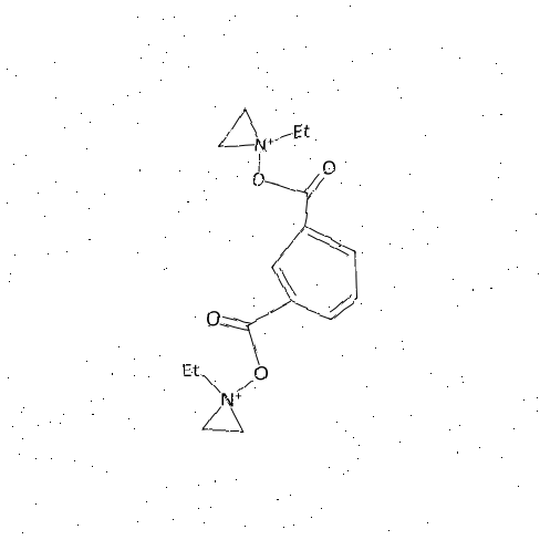 CC[N+]1(OC(=O)c2cccc(C(=O)O[N+]3(CC)CC3)c2)CC1